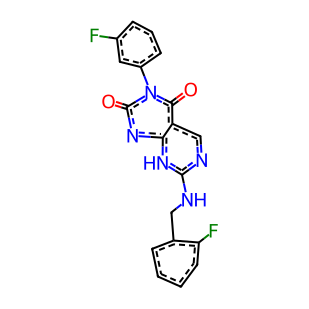 O=c1nc2[nH]c(NCc3ccccc3F)ncc-2c(=O)n1-c1cccc(F)c1